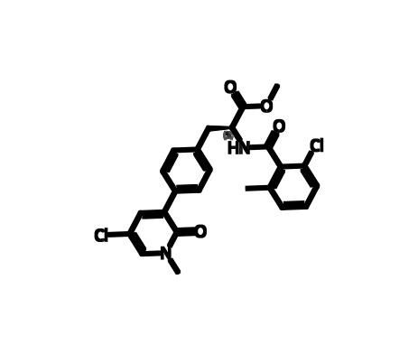 COC(=O)[C@H](Cc1ccc(-c2cc(Cl)cn(C)c2=O)cc1)NC(=O)c1c(C)cccc1Cl